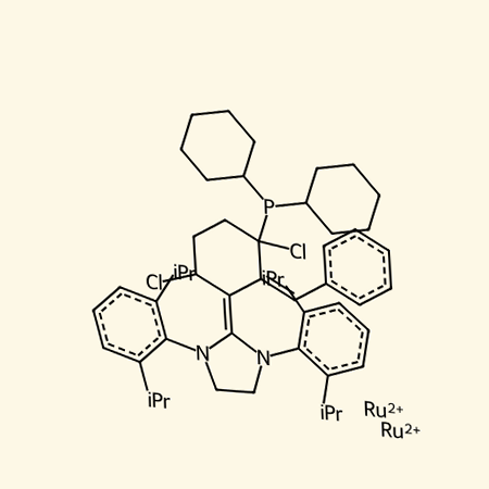 CC(C)c1cccc(C(C)C)c1N1CCN(c2c(C(C)C)cccc2C(C)C)C1=C1C(=Cc2ccccc2)C(Cl)(P(C2CCCCC2)C2CCCCC2)CCC1Cl.[Ru+2].[Ru+2]